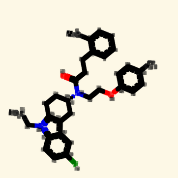 COc1ccccc1CCC(=O)N(CCOc1ccc(C(F)(F)F)cc1)[C@H]1CCc2c(c3cc(F)ccc3n2CC(=O)O)C1